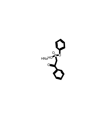 O=C(CP(=O)(O)Oc1ccccc1)c1ccccc1.[NaH]